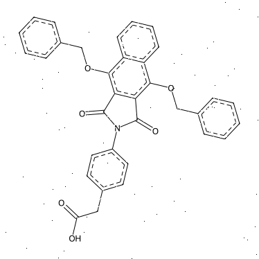 O=C(O)Cc1ccc(N2C(=O)c3c(c(OCc4ccccc4)c4ccccc4c3OCc3ccccc3)C2=O)cc1